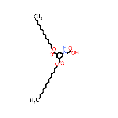 CCCCCCCCCCCCCCOC(=O)c1cc(NCC(=O)O)cc(C(=O)OCCCCCCCCCCCCCC)c1